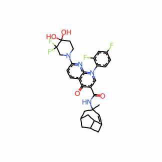 CC1(NC(=O)c2cn(-c3ccc(F)cc3F)c3nc(N4CCC(O)(O)C(F)(F)C4)ccc3c2=O)C=C2CC3CC(CC23)C1